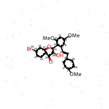 COc1ccc(/C=C/c2cc(OC)cc(OC)c2-c2oc3cc(Br)ccc3c(=O)c2O)cc1